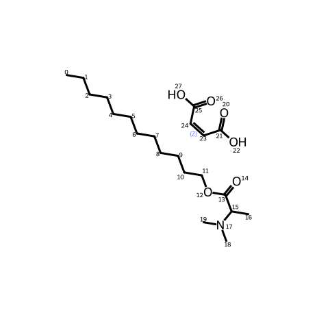 CCCCCCCCCCCCOC(=O)C(C)N(C)C.O=C(O)/C=C\C(=O)O